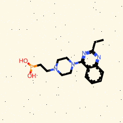 CCc1nc(N2CCN(CCP(O)O)CC2)c2ccccc2n1